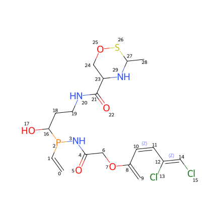 C=CP(NC(=O)COC(=C)/C=C\C(Cl)=C\Cl)C(O)CCNC(=O)C1COSC(C)N1